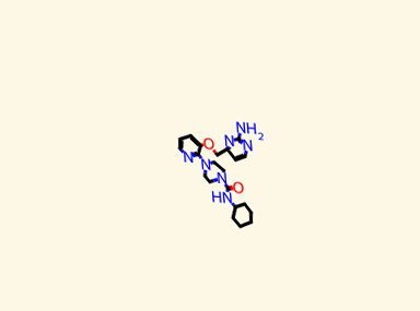 Nc1nccc(COc2cccnc2N2CCN(C(=O)NC3CCCCC3)CC2)n1